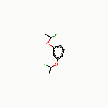 CC(F)Oc1[c]ccc(OC(C)F)c1